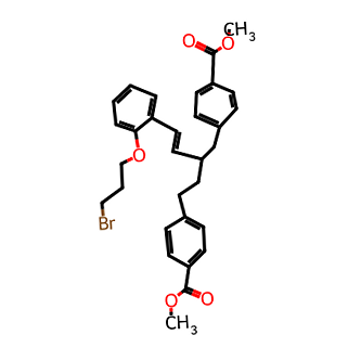 COC(=O)c1ccc(CCC(C=Cc2ccccc2OCCCBr)Cc2ccc(C(=O)OC)cc2)cc1